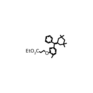 CCOC(=O)CCOc1cc(C(=C2CC(C)(C)CC(C)(C)C2)c2ccccc2)ccc1C